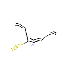 C=C/C(S)=C\CCC